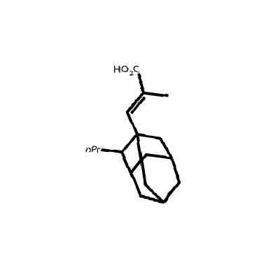 CCCC1C2CC3CC(C2)CC1(C=C(C)C(=O)O)C3